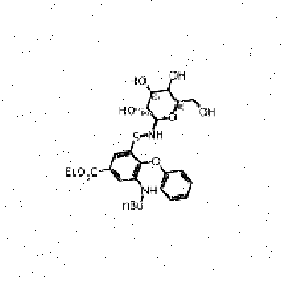 CCCCNc1cc(C(=O)OCC)cc(SNC2O[C@H](CO)C(O)[C@H](O)[C@H]2O)c1Oc1ccccc1